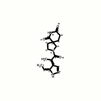 C/C=c1/[nH]nc/c1=C(/C)C(=O)N1CCC2(CCC(=O)NC2=O)C1